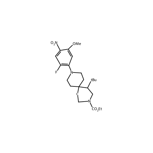 CCOC(=O)N1CCC2(CCN(c3cc(OC)c([N+](=O)[O-])cc3F)CC2)C(C(C)(C)C)C1